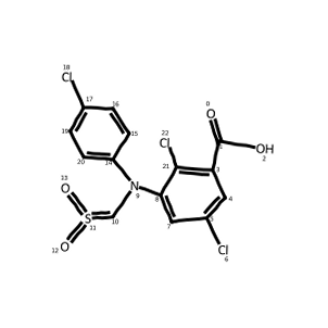 O=C(O)c1cc(Cl)cc(N(C=S(=O)=O)c2ccc(Cl)cc2)c1Cl